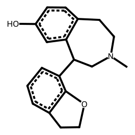 CN1CCc2ccc(O)cc2C(c2cccc3c2OCC3)C1